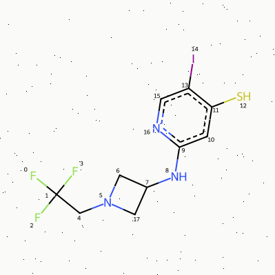 FC(F)(F)CN1CC(Nc2cc(S)c(I)cn2)C1